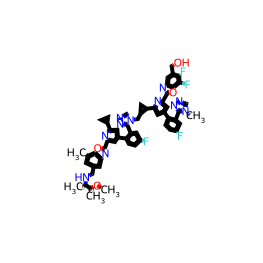 CO[C@H](C)[C@@H](C)NCc1cc(C)c2oc(-c3cc(-c4ccc(F)cc4-c4nncn4CC4CC4c4cc(-c5ccc(F)cc5-c5nncn5C)cc(-c5nc6cc(CO)c(F)c(F)c6o5)n4)cc(C4CC4)n3)nc2c1